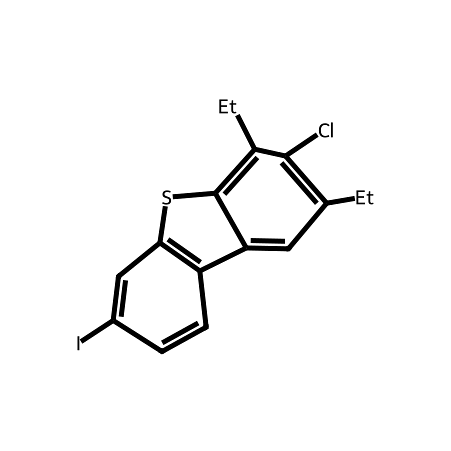 CCc1cc2c(sc3cc(I)ccc32)c(CC)c1Cl